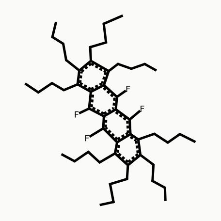 CCCCc1c(CCCC)c(CCCC)c2c(F)c3c(F)c4c(CCCC)c(CCCC)c(CCCC)c(CCCC)c4c(F)c3c(F)c2c1CCCC